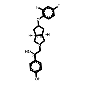 Oc1ccc([C@@H](O)CN2C[C@H]3CC(Oc4ccc(F)cc4F)C[C@H]3C2)cc1